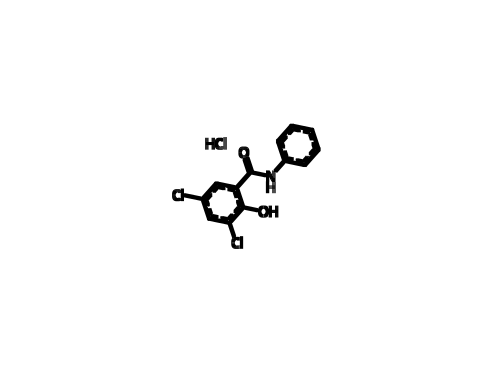 Cl.O=C(Nc1ccccc1)c1cc(Cl)cc(Cl)c1O